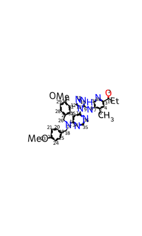 CCC(=O)c1cc(C)c(Nc2nncn2-c2cc(N(Cc3ccc(OC)cc3)Cc3ccc(OC)cc3)ncn2)cn1